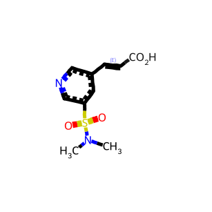 CN(C)S(=O)(=O)c1cncc(/C=C/C(=O)O)c1